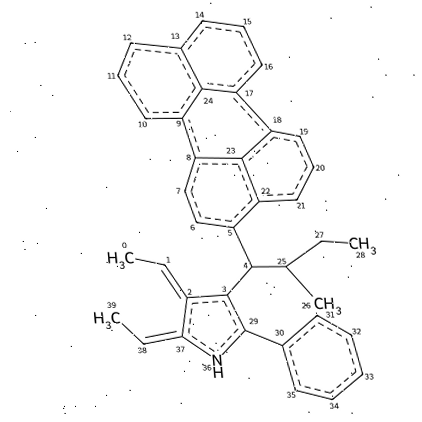 C/C=c1/c(C(c2ccc3c4cccc5cccc(c6cccc2c63)c54)C(C)CC)c(-c2ccccc2)[nH]/c1=C/C